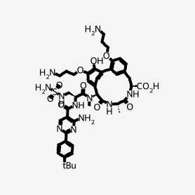 C[C@@H]1NC(=O)[C@@H](N(C)C(=O)[C@H](CNS(N)(=O)=O)NC(=O)c2cnc(-c3ccc(C(C)(C)C)cc3)nc2N)c2cc(OCCCN)c(O)c(c2)-c2cc(ccc2OCCCN)C[C@@H](C(=O)O)NC1=O